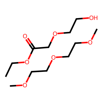 CCOC(=O)COCCO.COCCOCCOC